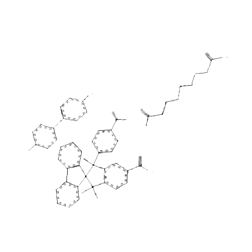 CC1(C)c2ccc(C(=O)O)cc2C(C)(c2ccc(C(=O)O)cc2)C12c1ccccc1-c1ccccc12.O=C(O)CCCCCCCC(=O)O.Oc1ccc(-c2ccc(O)cc2)cc1